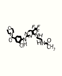 CC(=O)NCCNc1nc(Nc2ccc(C(=O)N3CCOCC3)cc2Cl)ncc1C(F)(F)F